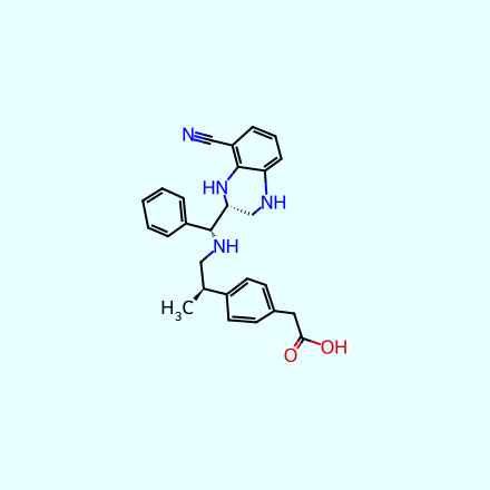 C[C@@H](CN[C@H](c1ccccc1)[C@H]1CNc2cccc(C#N)c2N1)c1ccc(CC(=O)O)cc1